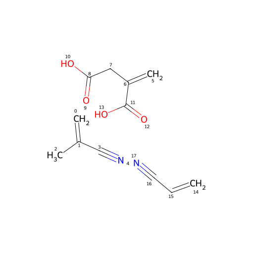 C=C(C)C#N.C=C(CC(=O)O)C(=O)O.C=CC#N